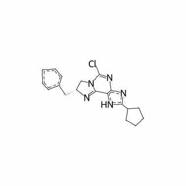 ClC1=Nc2nc(C3CCCC3)[nH]c2C2=N[C@H](Cc3ccccc3)CN12